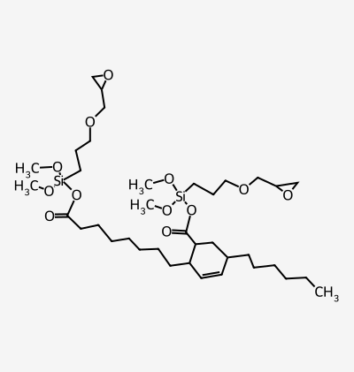 CCCCCCC1C=CC(CCCCCCCC(=O)O[Si](CCCOCC2CO2)(OC)OC)C(C(=O)O[Si](CCCOCC2CO2)(OC)OC)C1